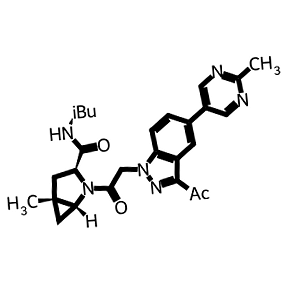 CC[C@@H](C)NC(=O)[C@@H]1C[C@@]2(C)C[C@H]2N1C(=O)Cn1nc(C(C)=O)c2cc(-c3cnc(C)nc3)ccc21